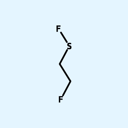 FCCSF